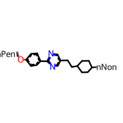 CCCCCCCCCC1CCC(CCc2cnc(-c3ccc(OCCCCC)cc3)nc2)CC1